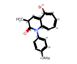 COc1ccc(N2C(=O)C(C)C=C3C(Br)=CC=CC=C32)cc1